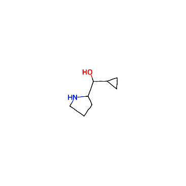 OC(C1CC1)C1CCCN1